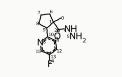 CC1(C(=O)NN)CCCC1c1ccc(F)cn1